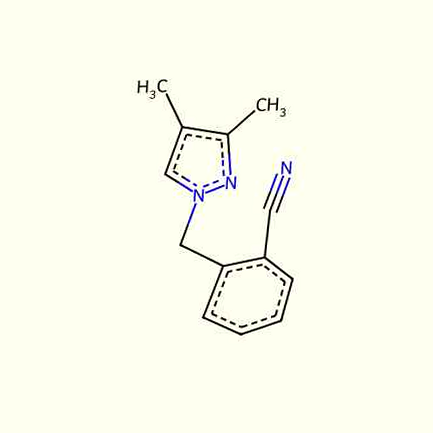 Cc1cn(Cc2ccccc2C#N)nc1C